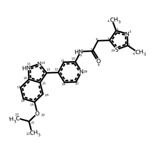 Cc1nc(C)c(CC(=O)Nc2cc(-c3n[nH]c4ccc(OC(C)C)cc34)ccn2)s1